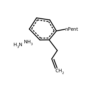 C=CCc1ccccc1CCCCC.N.N